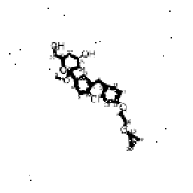 COC1(c2ccc(Cl)c(Cc3ccc(OCCOC4CC4)cc3)c2)C[C@@H](O)CC(CO)O1